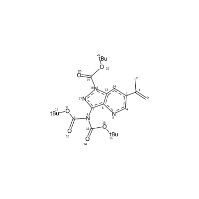 C=C(C)c1cnc2c(N(C(=O)OC(C)(C)C)C(=O)OC(C)(C)C)nn(C(=O)OC(C)(C)C)c2c1